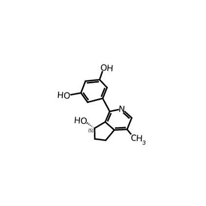 Cc1cnc(-c2cc(O)cc(O)c2)c2c1CC[C@@H]2O